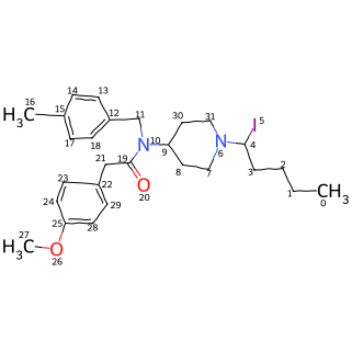 CCCCC(I)N1CCC(N(Cc2ccc(C)cc2)C(=O)Cc2ccc(OC)cc2)CC1